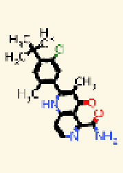 Cc1cc(C(C)(C)C)c(Cl)cc1-c1[nH]c2ccnc(C(N)=O)c2c(=O)c1C